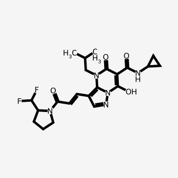 CC(C)Cn1c(=O)c(C(=O)NC2CC2)c(O)n2ncc(C=CC(=O)N3CCCC3C(F)F)c12